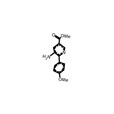 COC(=O)c1cnc(-c2ccc(OC)cc2)c(N)c1